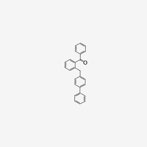 O=C(c1ccccc1)c1ccccc1Cc1ccc(-c2ccccc2)cc1